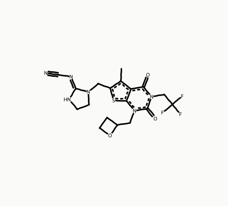 Cc1c(CN2CCNC2=NC#N)sc2c1c(=O)n(CC(F)(F)F)c(=O)n2CC1CCO1